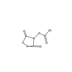 CCC(=O)On1c(=O)ssc1=O